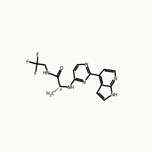 C[C@@H](Nc1ccnc(-c2ccnc3[nH]ccc23)n1)C(=O)NCC(F)(F)F